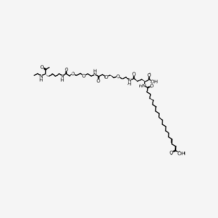 CCN[C@@H](CCCCNC(=O)COCCOCCNC(=O)COCCOCCNC(=O)CC[C@H](NC(=O)CCCCCCCCCCCCCCCCCCC(=O)O)C(=O)O)C(C)=O